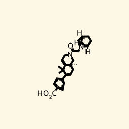 C[C@H]1[C@H]2CC[C@@H]1N(CC(=O)N1CC=C3C(C)(C)C(c4ccc(C(=O)O)cc4)=CC[C@]3(C)C1)C2